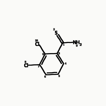 NC(=S)c1cccc(Cl)c1Cl